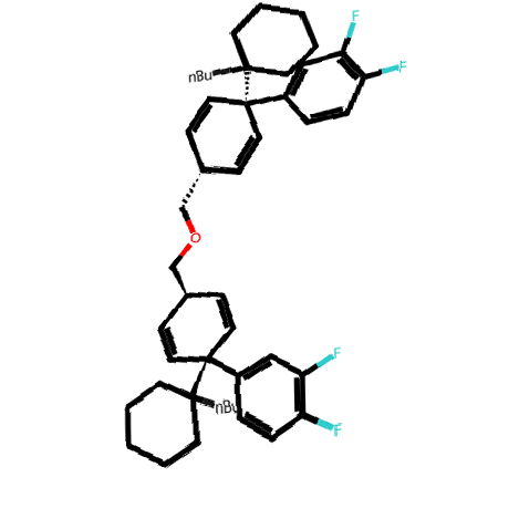 CCCCC1([C@]2(c3ccc(F)c(F)c3)C=C[C@H](COC[C@H]3C=C[C@@](c4ccc(F)c(F)c4)(C4(CCCC)CCCCC4)C=C3)C=C2)CCCCC1